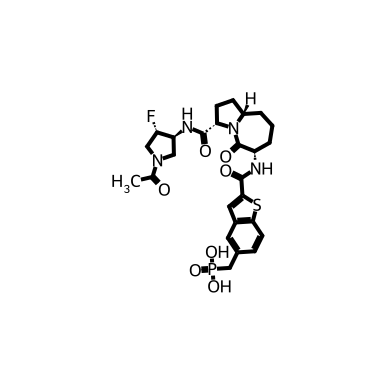 CC(=O)N1C[C@H](NC(=O)[C@@H]2CC[C@@H]3CCC[C@H](NC(=O)c4cc5cc(CP(=O)(O)O)ccc5s4)C(=O)N32)[C@@H](F)C1